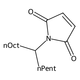 CCCCCCCCC(CCCCC)N1C(=O)C=CC1=O